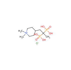 CC(CC1CC[N+](C)(C)CC1)(P(=O)(O)O)P(=O)(O)O.[Cl-]